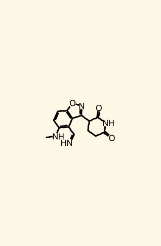 CNc1ccc2onc(C3CCC(=O)NC3=O)c2c1C=N